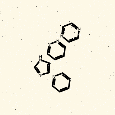 c1c[nH]cn1.c1ccncc1.c1ccnnc1.c1cnccn1